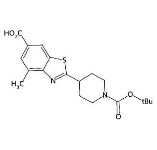 Cc1cc(C(=O)O)cc2sc(C3CCN(C(=O)OC(C)(C)C)CC3)nc12